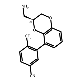 N#Cc1ccc(C(F)(F)F)c(-c2cccc3c2O[C@@H](CN)CO3)c1